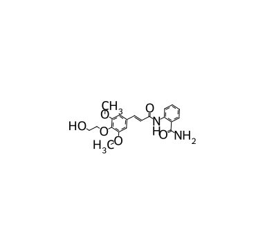 COc1cc(C=CC(=O)Nc2ccccc2C(N)=O)cc(OC)c1OCCO